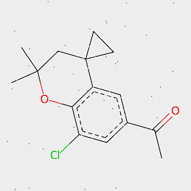 CC(=O)c1cc(Cl)c2c(c1)C1(CC1)CC(C)(C)O2